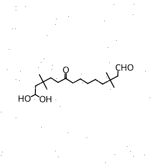 CC(C)(CC=O)CCCCCC(=O)CCC(C)(C)CC(O)O